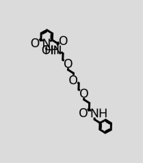 O=C(CCOCCOCCOCCNC(=O)c1cccc(=O)n1O)NCc1ccccc1